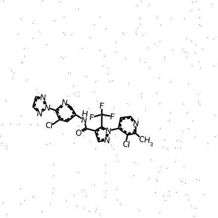 Cc1nccc(-n2ncc(C(=O)Nc3cnc(-n4nccn4)c(Cl)c3)c2C(F)(F)F)c1Cl